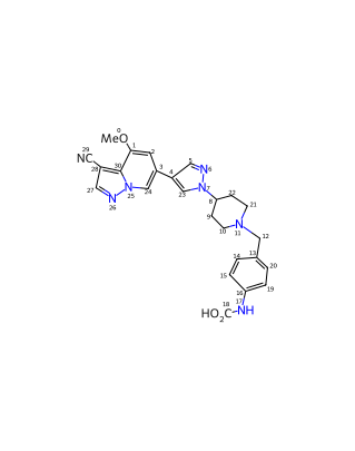 COc1cc(-c2cnn(C3CCN(Cc4ccc(NC(=O)O)cc4)CC3)c2)cn2ncc(C#N)c12